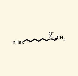 C=C[S+]([O-])CCCCCCCCCCCC